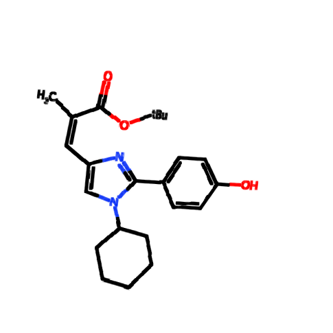 CC(=Cc1cn(C2CCCCC2)c(-c2ccc(O)cc2)n1)C(=O)OC(C)(C)C